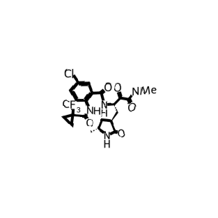 CNC(=O)C(=O)[C@H](C[C@@H]1C[C@@H](C)NC1=O)NC(=O)c1cc(Cl)ccc1NC(=O)C1(C(F)(F)F)CC1